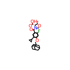 C[C@H]1OCN(C(=O)c2cc(C3CC3)c(OCC34CC5CC(CC(C5)C3)C4)cc2F)[C@@H]1C(=O)O